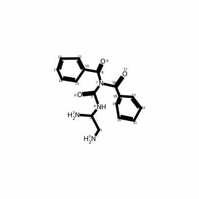 NCC(N)NC(=O)N(C(=O)c1ccccc1)C(=O)c1ccccc1